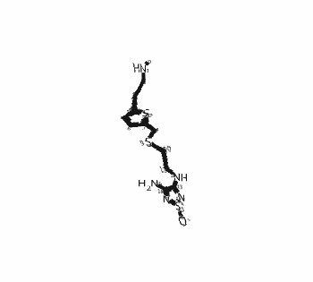 CNCCc1ccc(CSCCNc2n[s+]([O-])nc2N)s1